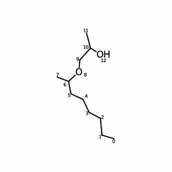 CCCCCCC(C)OCC(C)O